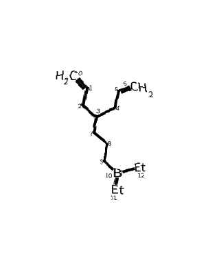 C=CCC(CC=C)CCCB(CC)CC